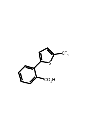 O=C(O)c1ccccc1-c1ccc(C(F)(F)F)s1